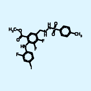 COC(=O)c1cc(CNNS(=O)(=O)c2ccc(C)cc2)c(F)c(F)c1Nc1ccc(I)cc1F